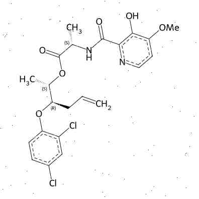 C=CC[C@@H](Oc1ccc(Cl)cc1Cl)[C@H](C)OC(=O)[C@H](C)NC(=O)c1nccc(OC)c1O